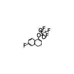 O=S(=O)(OC1=CCCc2cc(F)ccc21)C(F)(F)F